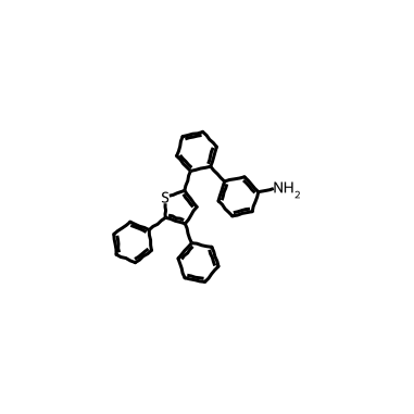 Nc1cccc(-c2ccccc2-c2cc(-c3ccccc3)c(-c3ccccc3)s2)c1